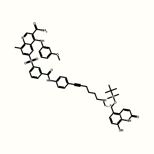 COc1cccc(Nc2c(C(N)=O)cnc3c(C)cc(S(=O)(=O)c4cccc(C(=O)Nc5ccc(C#CCCCCNC[C@H](O[Si](C)(C)C(C)(C)C)c6ccc(O)c7[nH]c(=O)ccc67)cc5)c4)cc23)c1